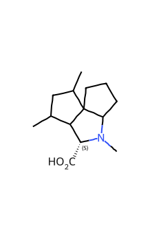 CC1CC(C)C23CCCC2N(C)[C@H](C(=O)O)C13